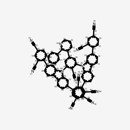 N#Cc1ccc(-c2ccc3c4ccc(-c5ccc(C#N)cc5C#N)cc4n(-c4cc(-c5cccnc5-c5ccccc5)cc(-n5c6cc(-c7ccc(C#N)cc7C#N)ccc6c6ccc(-c7ccc(C#N)cc7C#N)cc65)c4C#N)c3c2)c(C#N)c1